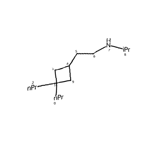 CCCC1(CCC)CC(CCNC(C)C)C1